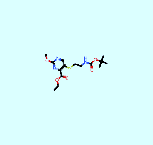 CCOC(=O)c1nc(OC)ncc1SCCNC(=O)OC(C)(C)C